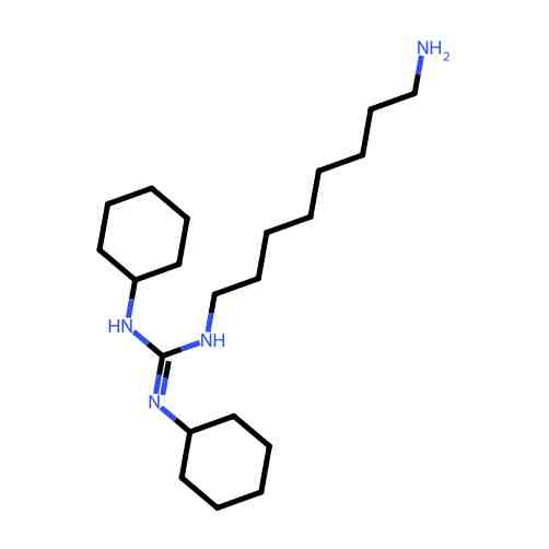 NCCCCCCCCN/C(=N\C1CCCCC1)NC1CCCCC1